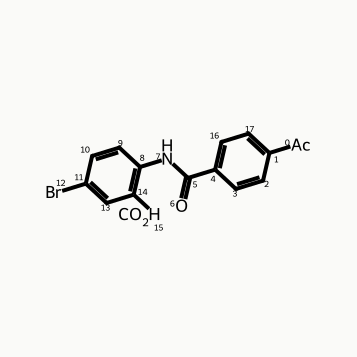 CC(=O)c1ccc(C(=O)Nc2ccc(Br)cc2C(=O)O)cc1